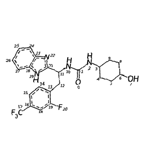 O=C(NC1CCC(O)CC1)NC(Cc1ccc(C(F)(F)F)cc1F)c1nc2ccccc2[nH]1